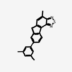 Cc1cc(C)cc(-c2ccc3c(c2)Cc2cc(C)c4nsnc4c2-3)c1